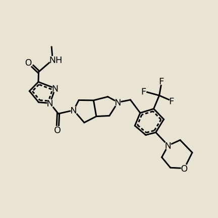 CNC(=O)c1ccn(C(=O)N2CC3CN(Cc4ccc(N5CCOCC5)cc4C(F)(F)F)CC3C2)n1